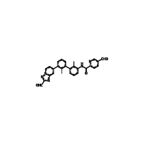 Cc1c(NC(=O)c2ccc(C=O)cn2)cccc1-c1cccc(-c2ccn3nc(C=O)nc3c2)c1C